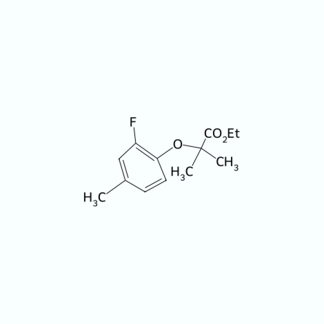 CCOC(=O)C(C)(C)Oc1ccc(C)cc1F